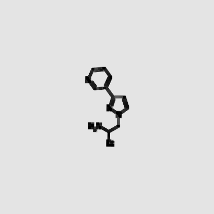 CCC(N)Cn1ccc(-c2cccnc2)n1